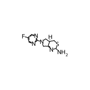 NC1N=C2CN(c3ncc(F)cn3)C[C@H]2CS1